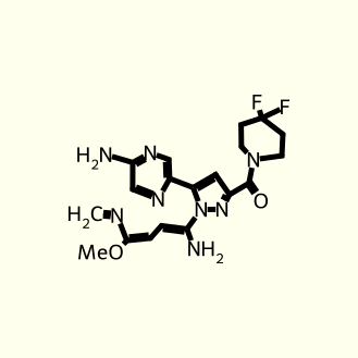 C=N/C(=C\C=C(/N)n1nc(C(=O)N2CCC(F)(F)CC2)cc1-c1cnc(N)cn1)OC